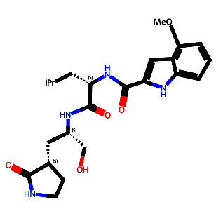 COc1cccc2[nH]c(C(=O)N[C@@H](CC(C)C)C(=O)N[C@H](CO)C[C@@H]3CCNC3=O)cc12